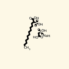 CCCCCCCCCCCCC(C(=O)O)S(=O)(=O)O.O=C(O)CS(=O)(=O)O.[NaH]